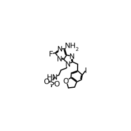 CS(=O)(=O)NCCCn1c(Cc2cc3c(cc2I)CCO3)nc2c(N)nc(F)nc21